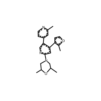 Cc1cc(-c2cnc(N3CC(C)OC(C)C3)cc2-c2ccoc2C)ccn1